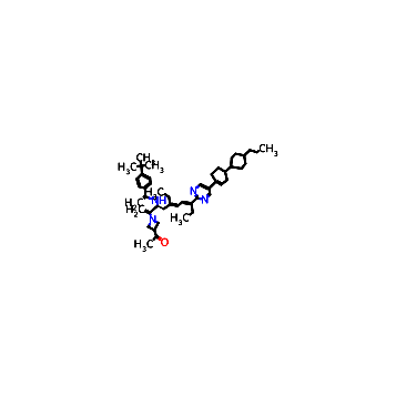 C=C(N[C@@H](C/C(=C/C=C(\CC)c1ncc(C2=CCC(C3CCC(CCC)CC3)CC2)cn1)CC)C(=C)N1CC(C(C)=O)C1)c1ccc(C(C)(C)C)cc1